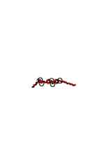 CCCCCCCCCCOc1ccc(C(=O)Oc2ccc(C=CC(=O)O[C@H](C)CCCCCC)cc2)cc1